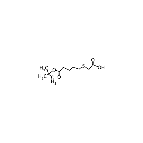 CC(C)(C)OC(=O)CCCCSCC(=O)O